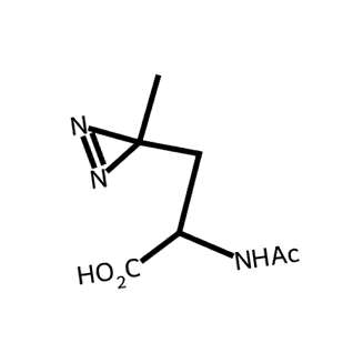 CC(=O)NC(CC1(C)N=N1)C(=O)O